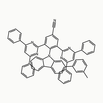 Cc1cccc(-c2ccc3c4ccccc4n(-c4c(-c5nc(-c6ccccc6)cc(-c6ccccc6)n5)cc(C#N)cc4-c4nc(-c5ccccc5)cc(-c5ccccc5)n4)c3c2)c1